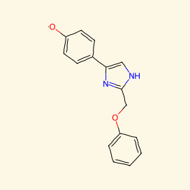 [O]c1ccc(-c2c[nH]c(COc3ccccc3)n2)cc1